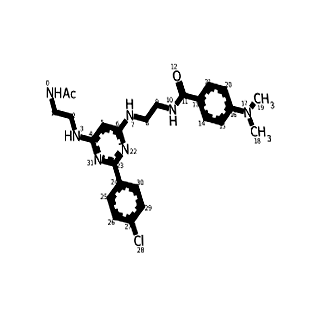 CC(=O)NCCNc1cc(NCCNC(=O)c2ccc(N(C)C)cc2)nc(-c2ccc(Cl)cc2)n1